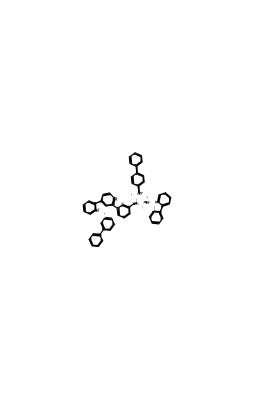 c1ccc(-c2ccc(-c3nc(-c4cccc5c4oc4ccc6c7ccccc7n(-c7cccc(-c8ccccc8)c7)c6c45)nc(-n4c5ccccc5c5ccccc54)n3)cc2)cc1